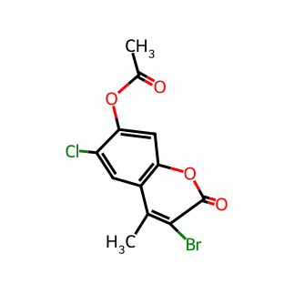 CC(=O)Oc1cc2oc(=O)c(Br)c(C)c2cc1Cl